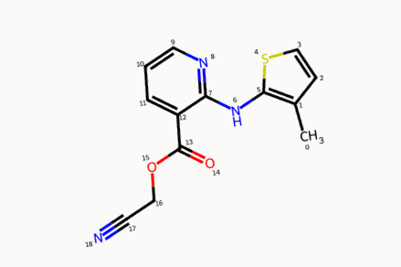 Cc1ccsc1Nc1ncccc1C(=O)OCC#N